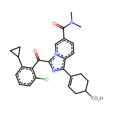 CN(C)C(=O)c1ccc2c(C3=CCC(C(=O)O)CC3)nc(C(=O)c3c(Cl)cccc3C3CC3)n2c1